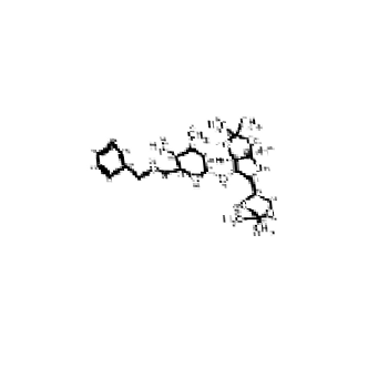 C[C@@H]1C[C@H](O[C@@H]2[C@H]3OC(C)(C)O[C@H]3O[C@@H]2[C@H]2COC(C)(C)O2)OC(COCc2ccccc2)[C@H]1C